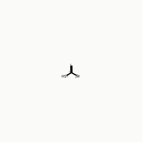 C=C(S)Br